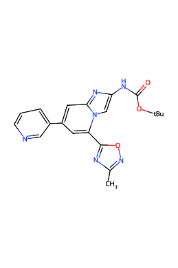 Cc1noc(-c2cc(-c3cccnc3)cc3nc(NC(=O)OC(C)(C)C)cn23)n1